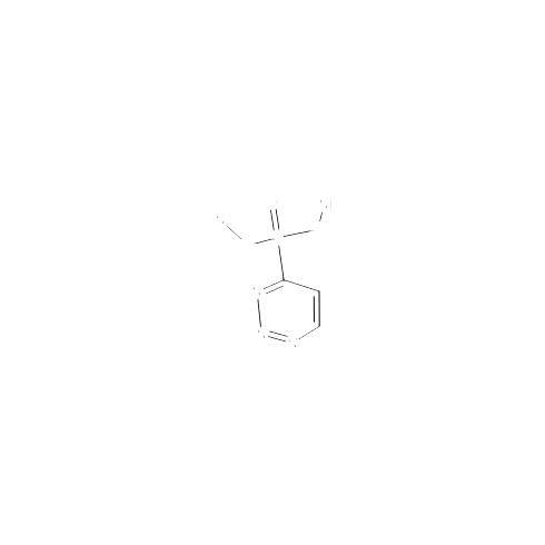 NOP(=O)(ON)c1ccnnn1